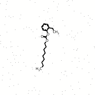 CCCCCCCCCOC(=O)Oc1ccccc1CC